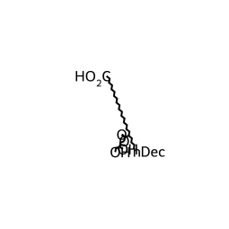 CCCCCCCCCCCCCCC(CCCCCCCCCCCCCCCCCC(=O)O)C(=O)OCC(O)CO